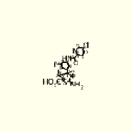 CC1(c2cc(NC(=O)c3ccc(Cl)cn3)cc(F)c2F)N=C(N)SC2(C(=O)O)CC21